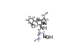 C\C=C/C=C(\C=N\O)CNc1cc(-c2ccccc2Cl)nc2c(CC)cnn12